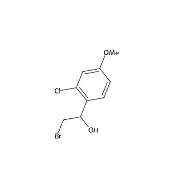 COc1ccc(C(O)CBr)c(Cl)c1